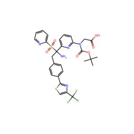 CC(C)(C)OC(=O)N(CC(=O)O)c1cccc(C(N)(Cc2ccc(-c3nc(C(F)(F)F)cs3)cc2)S(=O)(=O)c2ccccn2)n1